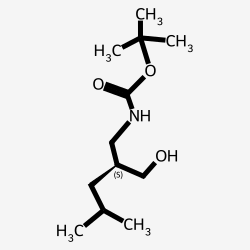 CC(C)C[C@H](CO)CNC(=O)OC(C)(C)C